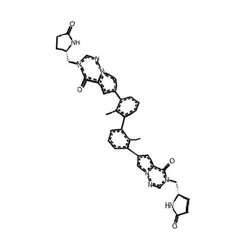 Cc1c(-c2cc3c(=O)n(C[C@@H]4CCC(=O)N4)cnn3c2)cccc1-c1cccc(-c2cc3c(=O)n(C[C@@H]4CCC(=O)N4)cnn3c2)c1C